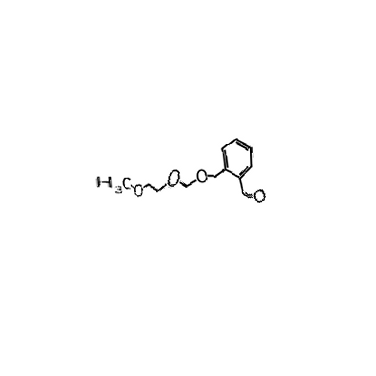 COCCOCOCc1ccccc1C=O